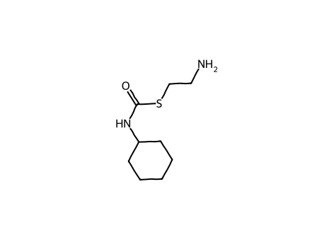 NCCSC(=O)NC1CCCCC1